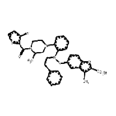 CCOC(=O)c1oc2ccc(SN(CCc3ccccc3)c3ccccc3N3CCN(C(=O)c4sccc4Br)C(C)C3)cc2c1C